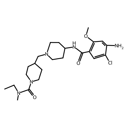 CCN(C)C(=O)N1CCC(CN2CCC(NC(=O)c3cc(Cl)c(N)cc3OC)CC2)CC1